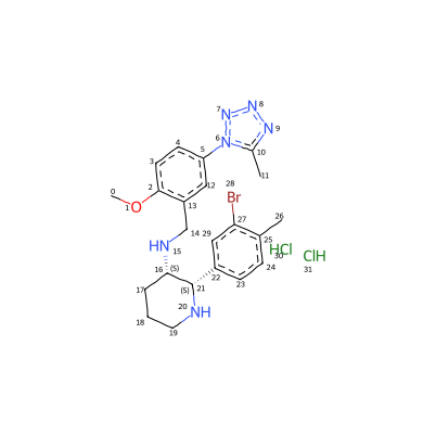 COc1ccc(-n2nnnc2C)cc1CN[C@H]1CCCN[C@H]1c1ccc(C)c(Br)c1.Cl.Cl